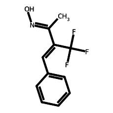 CC(=NO)C(=Cc1ccccc1)C(F)(F)F